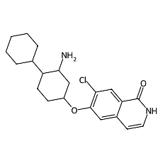 NC1CC(Oc2cc3cc[nH]c(=O)c3cc2Cl)CCC1C1CCCCC1